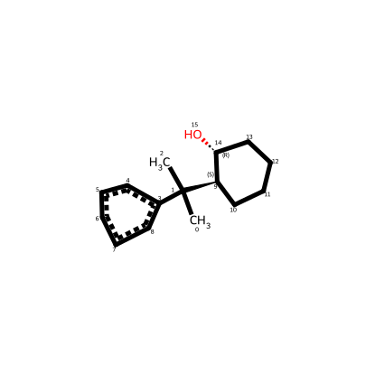 CC(C)(c1ccccc1)[C@@H]1CCCC[C@H]1O